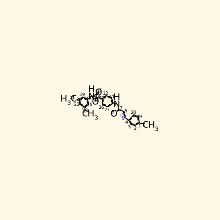 Cc1ccc(/C=C/C(=O)Nc2ccc(S(=O)(=O)Nc3cc(C)cc(C)c3)cc2)cc1